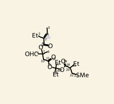 C/C=C(\CC)C(=O)OC(C)(C=O)CC(=O)OC(CC)(CC)OC(=O)C(CC)CSC